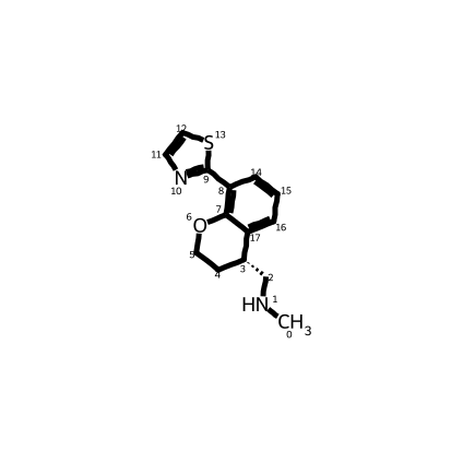 CNC[C@@H]1CCOc2c(-c3nccs3)cccc21